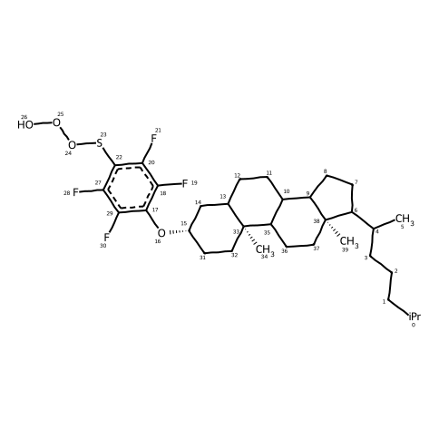 CC(C)CCCC(C)C1CCC2C3CCC4C[C@@H](Oc5c(F)c(F)c(SOOO)c(F)c5F)CC[C@]4(C)C3CC[C@]12C